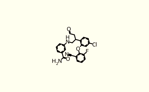 N#Cc1cccc(F)c1Oc1cc(Cl)ccc1C(CC=O)CNc1cccc(C(N)=O)c1